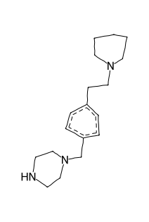 c1cc(CN2CCNCC2)ccc1CCN1CCCCC1